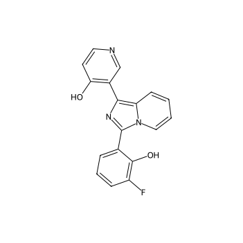 Oc1ccncc1-c1nc(-c2cccc(F)c2O)n2ccccc12